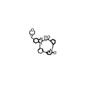 O=C1Nc2nc3cc(CN4CCOCC4)ccc3n2CC2=CCCC(=C2)c2ccc(=O)n(n2)Cc2cccc1c2